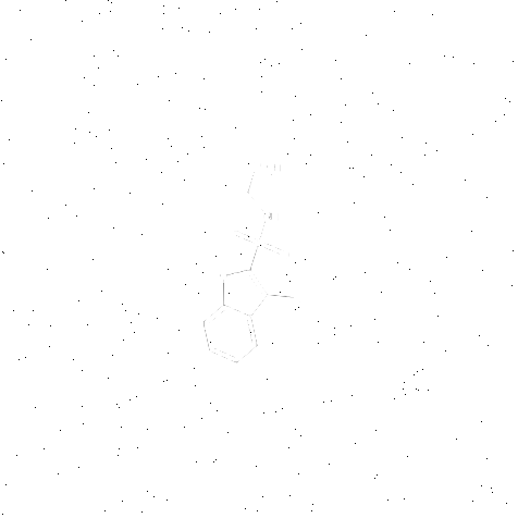 O=C(O)CNS(=O)(=O)c1oc2ccccc2c1Cl